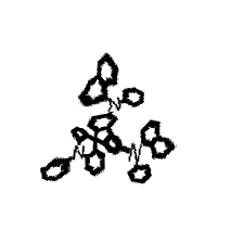 c1ccc(N2c3ccccc3C3(c4ccc(N(c5ccccc5)c5cccc6ccccc56)cc4-c4cc(N(c5ccccc5)c5cccc6ccccc56)ccc43)c3ccccc32)cc1